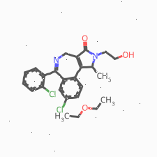 CC1C2=C(CN=C(c3ccccc3Cl)c3cc(Cl)ccc32)C(=O)N1CCO.CCOCC